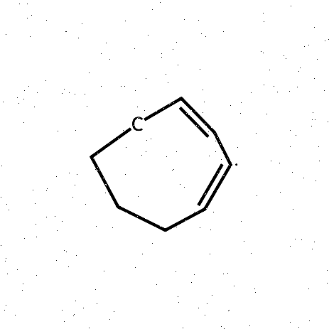 [C]1=C\CCCC\C=C/1